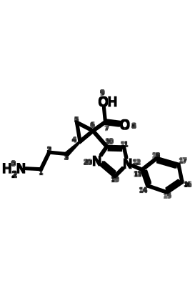 NCCC[C@H]1CC1(C(=O)O)c1cn(-c2ccccc2)cn1